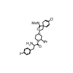 CNC(=O)C1(CCN2CCN(C(=O)C(N)Cc3ccc(F)cc3)C(C(C)C)C2)C=CC(Cl)=CC1